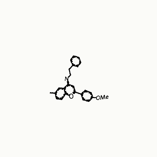 COc1ccc(-c2cc(=NCCc3ccccc3)c3cc(C)ccc3o2)cc1